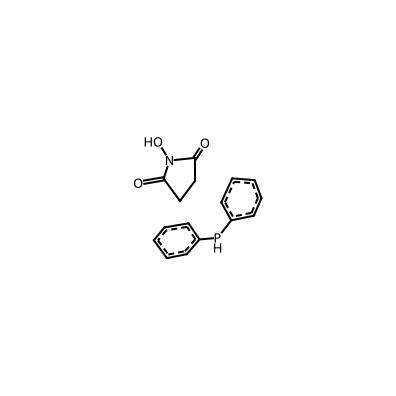 O=C1CCC(=O)N1O.c1ccc(Pc2ccccc2)cc1